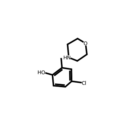 C1COCCN1.Cc1cc(Cl)ccc1O